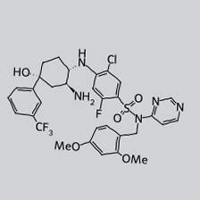 COc1ccc(CN(c2ccncn2)S(=O)(=O)c2cc(Cl)c(N[C@H]3CC[C@](O)(c4cccc(C(F)(F)F)c4)C[C@@H]3N)cc2F)c(OC)c1